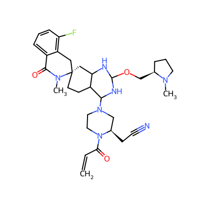 C=CC(=O)N1CCN(C2NC(OC[C@H]3CCCN3C)NC3C[C@@]4(CCC32)Cc2c(F)cccc2C(=O)N4C)C[C@H]1CC#N